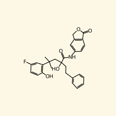 CC(C)(CC(O)(CCc1ccccc1)C(=O)Nc1ccc2c(c1)COC2=O)c1cc(F)ccc1O